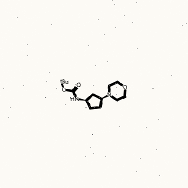 CC(C)(C)OC(=O)N[C@@H]1CC[C@H](N2CCOCC2)C1